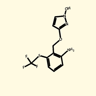 Nc1cccc(SC(F)(F)F)c1COc1ccn(O)n1